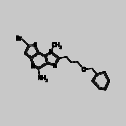 Cn1c(CCCOCc2ccccc2)nc2c(N)nc3cc(Br)sc3c21